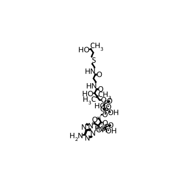 CC(O)CCSCCNC(=O)CCNC(=O)C(O)C(C)(C)COP(=O)(O)OP(=O)(O)OC[C@H]1O[C@@H](n2cnc3c(N)ncnc32)[C@H](O)[C@@H]1OP(=O)(O)O